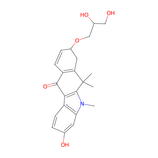 Cn1c2c(c3ccc(O)cc31)C(=O)C1=C(CC(OCC(O)CO)C=C1)C2(C)C